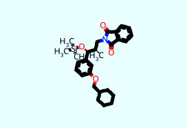 C[C@@H](CN1C(=O)c2ccccc2C1=O)[C@H](O[Si](C)(C)C)c1cccc(OCC2CCCCC2)c1